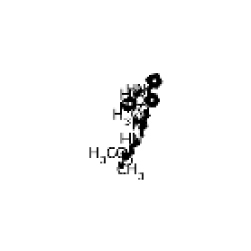 CCOC(CCCNCc1cc(COc2cccc([C@@H](NC(=O)O[C@H]3CN4CCC3CC4)c3ccccc3)c2)n(C)n1)OCC